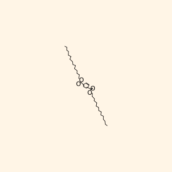 CCCCCCCCCCCCCCCOC(=O)c1ccc(C(=O)OCCCCCCCCCCCCCCC)cc1